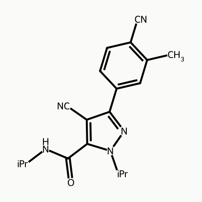 Cc1cc(-c2nn(C(C)C)c(C(=O)NC(C)C)c2C#N)ccc1C#N